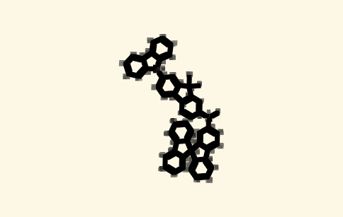 CN(c1ccc2c(c1)C(C)(C)c1cc(-n3c4ccccc4c4ccccc43)ccc1-2)c1ccc2c(c1)C1(c3ccccc3-c3ccccc31)c1ccccc1-2